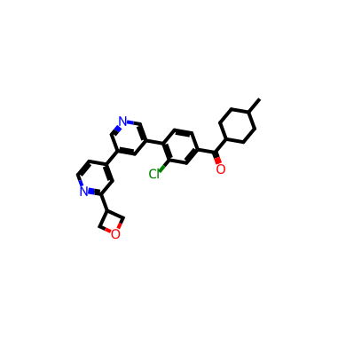 CC1CCC(C(=O)c2ccc(-c3cncc(-c4ccnc(C5COC5)c4)c3)c(Cl)c2)CC1